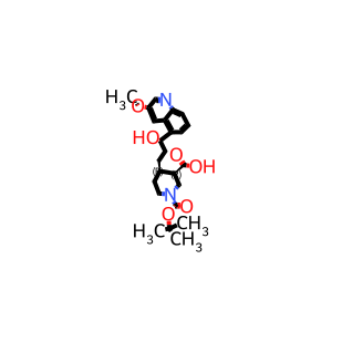 COc1cnc2cccc(C(O)CC[C@@H]3CCN(C(=O)OC(C)(C)C)C[C@@H]3C(=O)O)c2c1